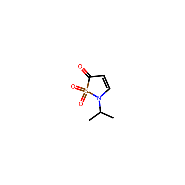 CC(C)N1C=CC(=O)S1(=O)=O